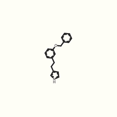 c1ccc(COc2cccc(CCc3cc[nH]c3)c2)cc1